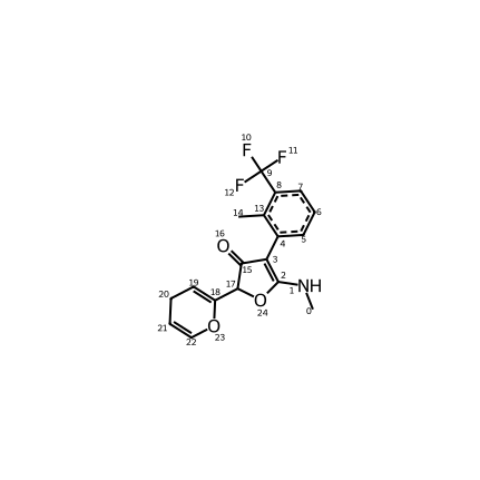 CNC1=C(c2cccc(C(F)(F)F)c2C)C(=O)C(C2=CCC=CO2)O1